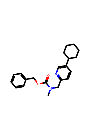 CN(Cc1ccc(C2CCCCC2)cn1)C(=O)OCc1ccccc1